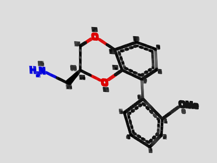 COc1ccccc1-c1cccc2c1O[C@@H](CN)CO2